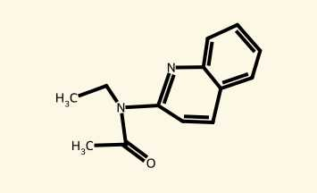 CCN(C(C)=O)c1ccc2ccccc2n1